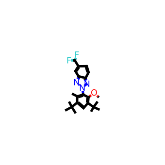 COc1c(C(C)(C)C)cc(C(C)(C)C)c(C)c1-n1nc2ccc(C(F)F)cc2n1